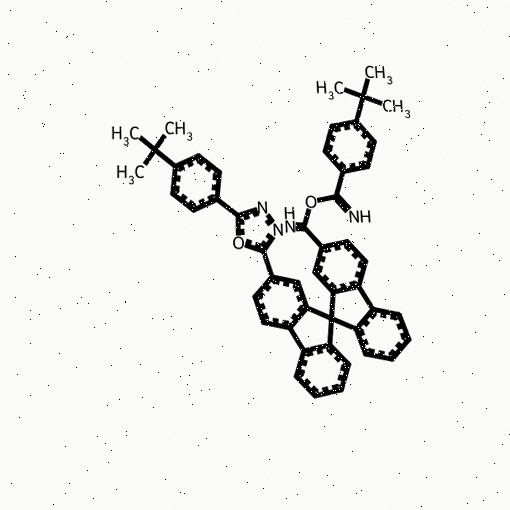 CC(C)(C)c1ccc(C(=N)OC(=N)c2ccc3c(c2)C2(c4ccccc4-3)c3ccccc3-c3ccc(-c4nnc(-c5ccc(C(C)(C)C)cc5)o4)cc32)cc1